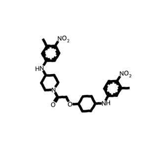 Cc1cc(NC2CCC(OCC(=O)N3CCC(Nc4ccc([N+](=O)[O-])c(C)c4)CC3)CC2)ccc1[N+](=O)[O-]